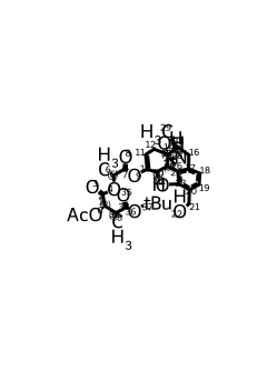 CC(=O)O[C@@H](C(=O)O[C@@H](C)C(=O)OC1=CC[C@@]2(O)[C@H]3Cc4ccc(CO)c5c4[C@@]2(CCN3C)[C@H]1O5)[C@@H](C)C(=O)OC(C)(C)C